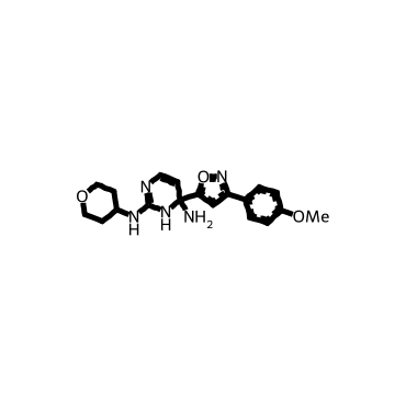 COc1ccc(-c2cc(C3(N)C=CN=C(NC4CCOCC4)N3)on2)cc1